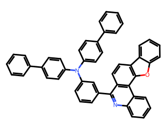 c1ccc(-c2ccc(N(c3ccc(-c4ccccc4)cc3)c3cccc(-c4nc5ccccc5c5c4ccc4c6ccccc6oc45)c3)cc2)cc1